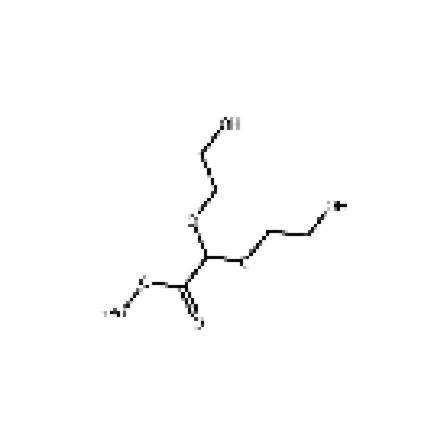 CCCCOC(=O)C(OCCO)OCCO